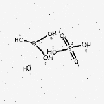 Cl.O=S(=O)(O)O.OB(O)O